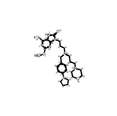 CCCCOc1nc(N)c2[nH]c(=O)n(CCCN(CCCN3CCOCC3)Cc3ccc(N4CCCC4)cc3)c2n1